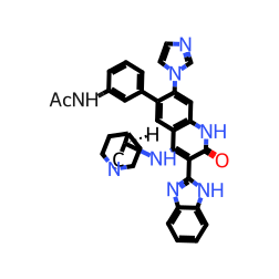 CC(=O)Nc1cccc(-c2cc3c(N[C@H]4CN5CCC4CC5)c(-c4nc5ccccc5[nH]4)c(=O)[nH]c3cc2-n2ccnc2)c1